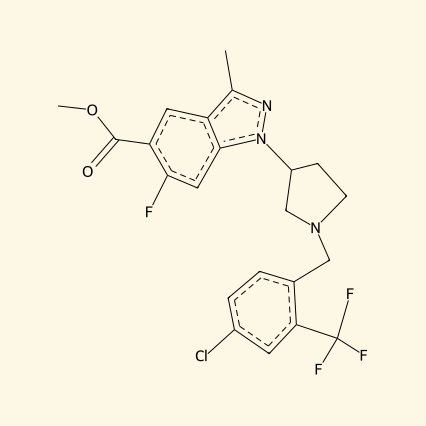 COC(=O)c1cc2c(C)nn(C3CCN(Cc4ccc(Cl)cc4C(F)(F)F)C3)c2cc1F